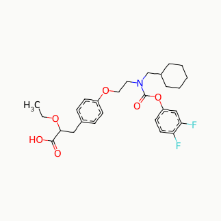 CCOC(Cc1ccc(OCCN(CC2CCCCC2)C(=O)Oc2ccc(F)c(F)c2)cc1)C(=O)O